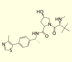 CN[C@H](C(=O)N1C[C@H](O)CC1C(=O)N[C@H](C)c1ccc(-c2scnc2C)cc1)C(C)(C)C